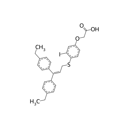 CCc1ccc(C(=CCSc2ccc(OCC(=O)O)cc2I)c2ccc(CC)cc2)cc1